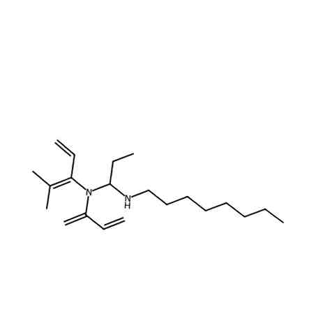 C=CC(=C)N(C(C=C)=C(C)C)C(CC)NCCCCCCCC